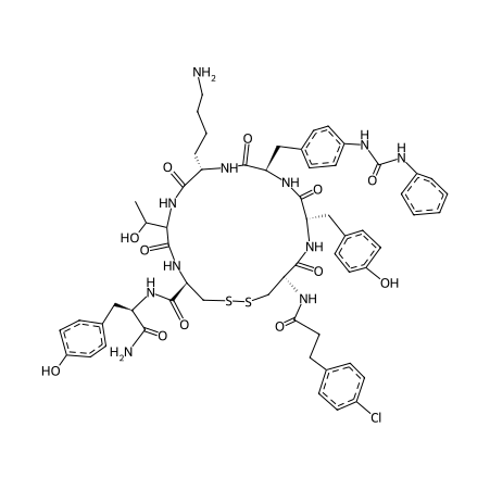 CC(O)C1NC(=O)[C@H](CCCCN)NC(=O)[C@@H](Cc2ccc(NC(=O)Nc3ccccc3)cc2)NC(=O)[C@H](Cc2ccc(O)cc2)NC(=O)[C@H](NC(=O)CCc2ccc(Cl)cc2)CSSC[C@@H](C(=O)N[C@H](Cc2ccc(O)cc2)C(N)=O)NC1=O